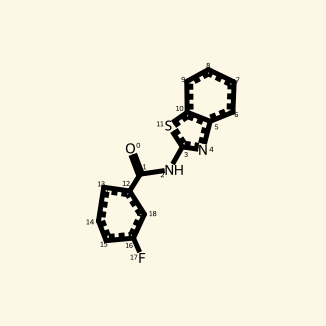 O=C(Nc1nc2ccccc2s1)c1cccc(F)c1